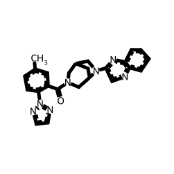 Cc1ccc(-n2nccn2)c(C(=O)N2CC3CC(C2)N(c2cnc4ccccc4n2)C3)c1